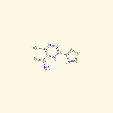 Cc1ncc(-c2cscn2)nc1C(N)=O